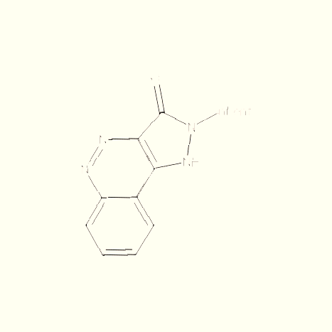 CCCCCn1[nH]c2c(nnc3ccccc32)c1=O